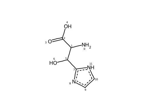 NC(C(=O)O)C(O)c1ncc[nH]1